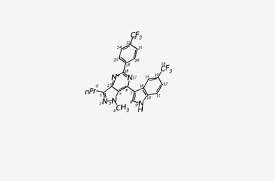 CCCc1nn(C)c2c(-c3c[nH]c4ccc(C(F)(F)F)cc34)nc(-c3ccc(C(F)(F)F)cc3)nc12